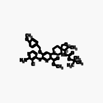 COC(=O)c1nc(Sc2ccnc(N)c2Cl)c(OCc2ccc(OC)cc2)cc1N1CCC2(CC1)CO[C@@H](C)[C@H]2NC(=O)OC(C)(C)C